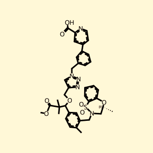 COC(=O)C(C)(C)C(OCc1cn(Cc2cccc(-c3ccnc(C(=O)O)c3)c2)nn1)c1ccc(C)c(CN2C[C@@H](C)Oc3ccccc3S2(=O)=O)c1